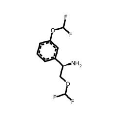 N[C@@H](COC(F)F)c1cccc(OC(F)F)c1